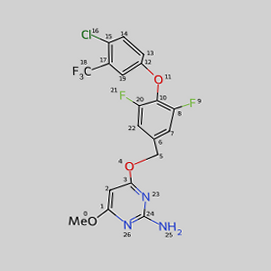 COc1cc(OCc2cc(F)c(Oc3ccc(Cl)c(C(F)(F)F)c3)c(F)c2)nc(N)n1